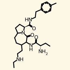 CCNCCC1CCC2CC[C@@H](C(=O)NCCc3ccc(C)cc3)N2C(=O)C1NC(=O)[C@@H](N)CC